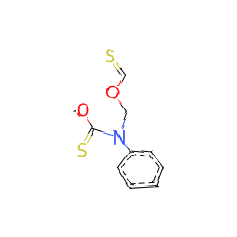 [O]C(=S)N(COC=S)c1ccccc1